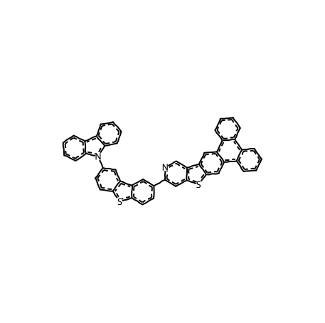 c1ccc2c(c1)c1ccccc1c1cc3c(cc21)sc1cc(-c2ccc4sc5ccc(-n6c7ccccc7c7ccccc76)cc5c4c2)ncc13